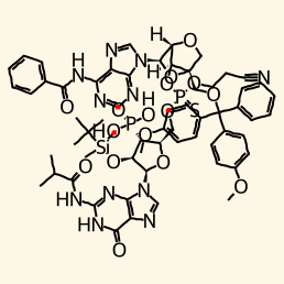 COc1ccc(C(OC[C@@]23CO[C@@H]([C@H](n4cnc5c(NC(=O)c6ccccc6)ncnc54)O2)[C@@H]3OP(=S)(OCCC#N)OC[C@H]2O[C@@H](n3cnc4c(=O)[nH]c(NC(=O)C(C)C)nc43)[C@@H](O[Si](C)(C)C(C)(C)C)[C@@H]2P(=O)(O)O)(c2ccccc2)c2ccc(OC)cc2)cc1